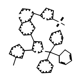 CS(=O)(=O)c1ccc(-c2ncnc3ccc(-c4cn(C(c5ccccc5)(c5ccccc5)C5C=CC=CC5)nc4-c4cccc(C#N)c4)cc23)s1